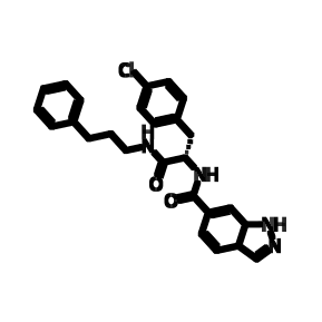 O=C(N[C@@H](Cc1ccc(Cl)cc1)C(=O)NCCCc1ccccc1)C1=CC2NN=CC2C=C1